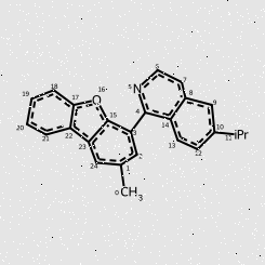 Cc1cc(-c2nccc3cc(C(C)C)ccc23)c2oc3ccccc3c2c1